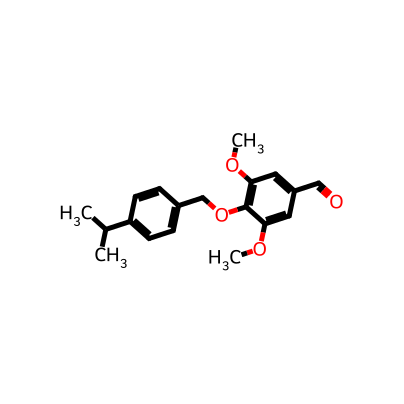 COc1cc(C=O)cc(OC)c1OCc1ccc(C(C)C)cc1